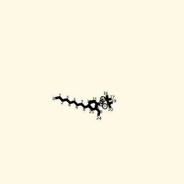 CCCCCCCCCc1ccc(B2OC(C)(C)C(C)(C)O2)c(CC)c1